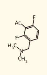 CC(=O)c1c(F)ccc(CN(C)C)c1F